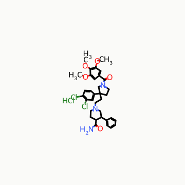 COc1cc(C(=O)N2CCC(CCN3CCC(C(N)=O)C(c4ccccc4)C3)(c3ccc(Cl)c(Cl)c3)C2)cc(OC)c1OC.Cl